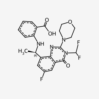 C[C@@H](Nc1ccccc1C(=O)O)c1cc(F)cc2c(=O)n(C(F)F)c(N3CCOCC3)nc12